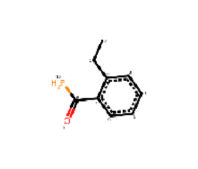 CCc1ccccc1C(=O)P